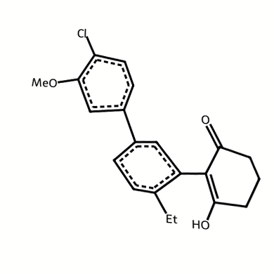 CCc1ccc(-c2ccc(Cl)c(OC)c2)cc1C1=C(O)CCCC1=O